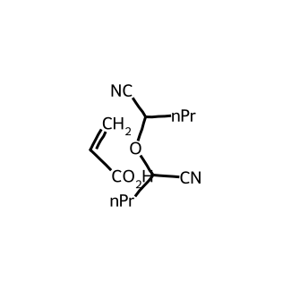 C=CC(=O)O.CCCC(C#N)OC(C#N)CCC